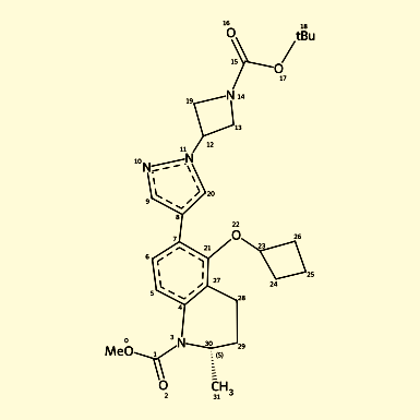 COC(=O)N1c2ccc(-c3cnn(C4CN(C(=O)OC(C)(C)C)C4)c3)c(OC3CCC3)c2CC[C@@H]1C